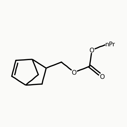 CCCOC(=O)OCC1CC2C=CC1C2